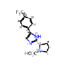 O=C(O)N1CCC[C@H]1c1ncc(-c2ccc(C(F)(F)F)cc2)[nH]1